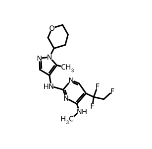 CNc1nc(Nc2cnn(C3CCCOC3)c2C)ncc1C(F)(F)CF